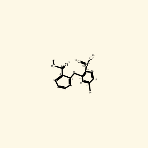 COC(=O)c1ccccc1Cc1cc(C)ccc1[N+](=O)[O-]